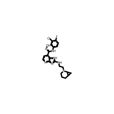 O/N=C(\Nc1ccc(F)c(Cl)c1)c1ccnc2nc(NCCN3CCCC4CC43)[nH]c12